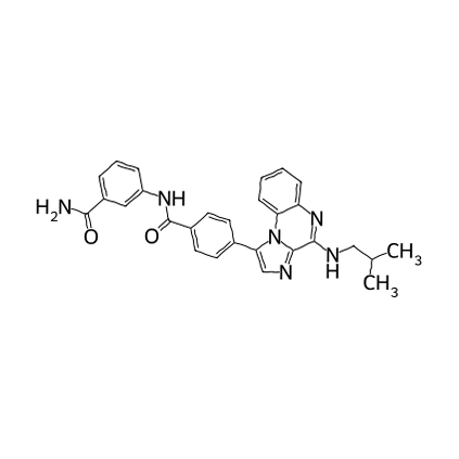 CC(C)CNc1nc2ccccc2n2c(-c3ccc(C(=O)Nc4cccc(C(N)=O)c4)cc3)cnc12